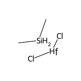 C[SiH2]C.[Cl][Hf][Cl]